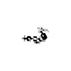 C[C@H](/C(=N\C#N)NC1C2CC3CC1CC(C(=O)N(C)C)(C3)C2)N1CCN(c2ccc(C(F)(F)F)cn2)CC1